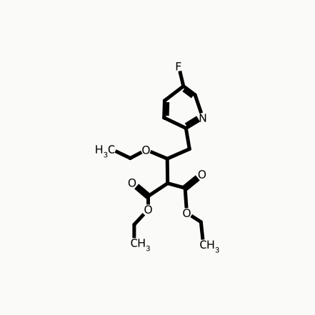 CCOC(=O)C(C(=O)OCC)C(Cc1ccc(F)cn1)OCC